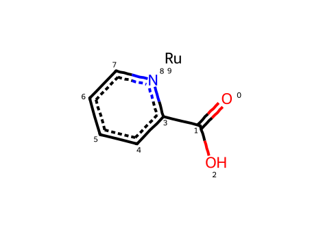 O=C(O)c1ccccn1.[Ru]